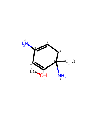 CCO.NC1=CCC(N)(C=O)C=C1